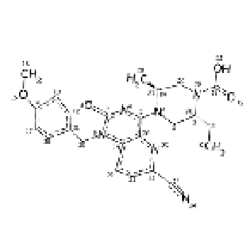 CC[C@@H]1CN(c2nc(=O)n(Cc3ccc(OC)cc3)c3ccc(C#N)nc23)[C@@H](C)CN1C(=O)O